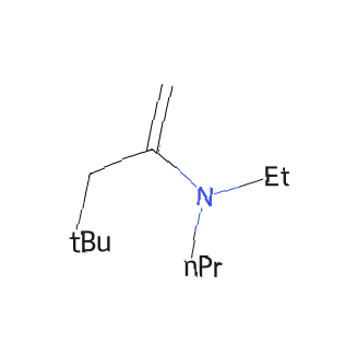 C=C(CC(C)(C)C)N(CC)CCC